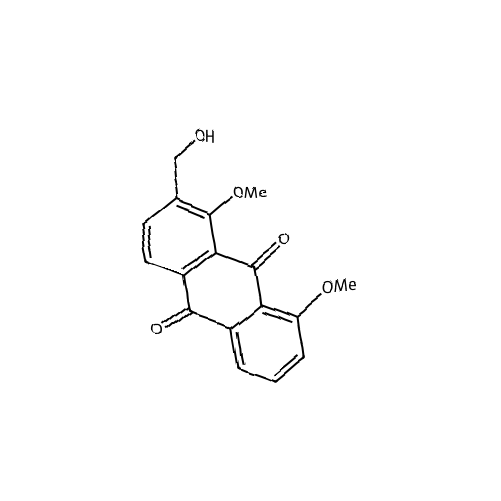 COc1cccc2c1C(=O)c1c(ccc(CO)c1OC)C2=O